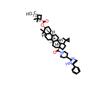 CC1(C2CC[C@]3(C(=O)N4CCC(c5ncc(-c6ccccc6)[nH]5)CC4)CC[C@]4(C)[C@H](CC[C@@H]5[C@@]6(C)CC[C@H](OC(=O)[C@H]7C[C@@H](C(=O)O)C7(C)C)C(C)(C)[C@@H]6CC[C@]54C)[C@@H]23)CC1